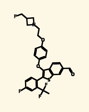 CC(F)(F)c1cc(F)ccc1-c1sc2cc(C=O)ccc2c1Oc1ccc(OCCN2CC(CF)C2)cc1